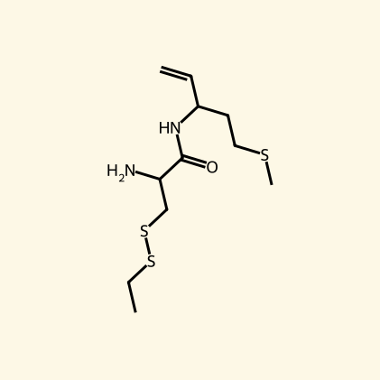 C=CC(CCSC)NC(=O)C(N)CSSCC